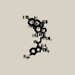 Cc1ccc2c(c1)CC(C)(C)N2C(=O)CC[C@@H](C)[C@H]1CC[C@H]2[C@@H]3[C@H](O)C[C@@H]4C[C@H](O)CC[C@]4(C)[C@H]3C[C@H](O)[C@]12C